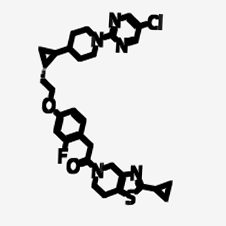 O=C(Cc1ccc(OCC[C@@H]2CC2C2CCN(c3ncc(Cl)cn3)CC2)cc1F)N1CCc2sc(C3CC3)nc2C1